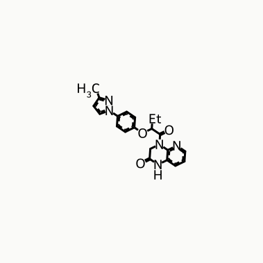 CCC(Oc1ccc(-n2ccc(C)n2)cc1)C(=O)N1CC(=O)Nc2cccnc21